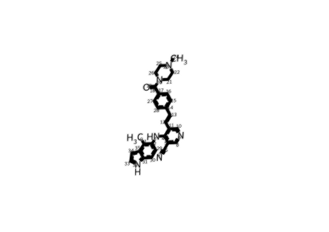 Cc1c(Nc2c(C#N)cncc2/C=C/c2ccc(C(=O)N3CCN(C)CC3)cc2)ccc2[nH]ccc12